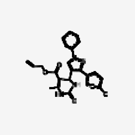 C=CCOC(=O)C1=C(C)NC(=O)NC1c1cn(-c2ccccc2)nc1-c1ccc(Cl)cc1